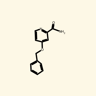 NC(=O)c1cc(OCc2ccccc2)ccn1